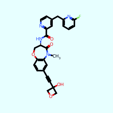 CN1C(=O)[C@H](NC(=O)c2cc(Cc3cccc(F)n3)ccn2)COc2ccc(C#CC3(O)COC3)cc21